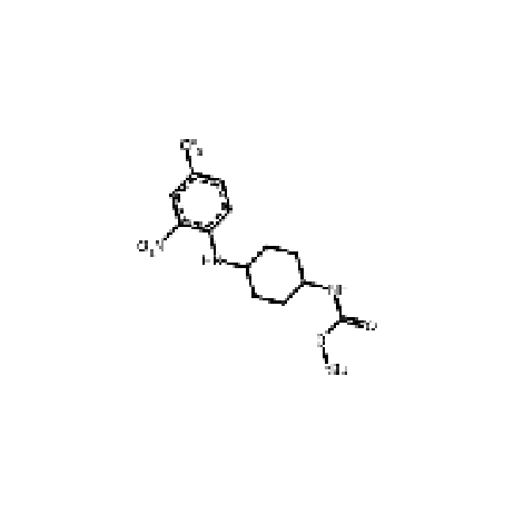 CC(C)(C)OC(=O)NC1CCC(Nc2ccc(C(F)(F)F)cc2[N+](=O)[O-])CC1